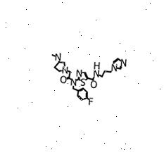 CN(C)C1CCN(CC(=O)N(Cc2ccc(F)cc2)c2ncc(C(=O)NCCCn3ccnc3)s2)C1